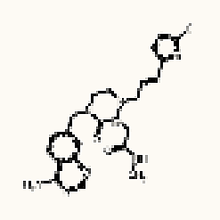 CNC(=O)C[C@H]1C(=O)N(Cc2ccc3c(N)ncnc3c2)CCN1CC=Cc1ccc(Cl)s1